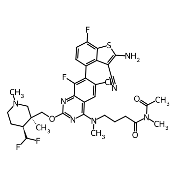 CC(=O)N(C)C(=O)CCCN(C)c1nc(OC[C@]2(C)CN(C)CC[C@@H]2C(F)F)nc2c(F)c(-c3ccc(F)c4sc(N)c(C#N)c34)c(Cl)cc12